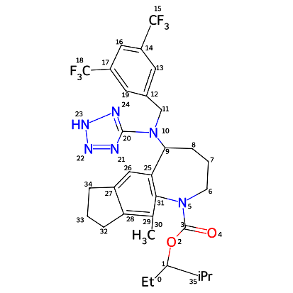 CCC(OC(=O)N1CCCC(N(Cc2cc(C(F)(F)F)cc(C(F)(F)F)c2)c2nn[nH]n2)c2cc3c(c(C)c21)CCC3)C(C)C